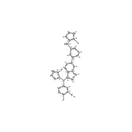 Cc1ccc(C(c2cnnn2C)n2nnc3cc(-c4ccnc(Nc5ccnn5C)n4)ccc32)cc1F